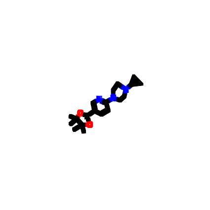 CC1(C)OB(c2ccc(N3CCN(C4CC4)CC3)nc2)OC1(C)C